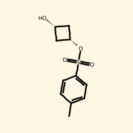 Cc1ccc(S(=O)(=O)O[C@H]2C[C@@H](O)C2)cc1